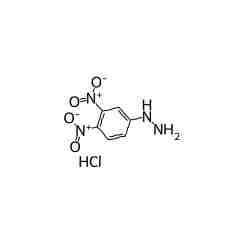 Cl.NNc1ccc([N+](=O)[O-])c([N+](=O)[O-])c1